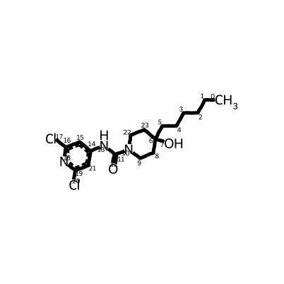 CCCCCCC1(O)CCN(C(=O)Nc2cc(Cl)nc(Cl)c2)CC1